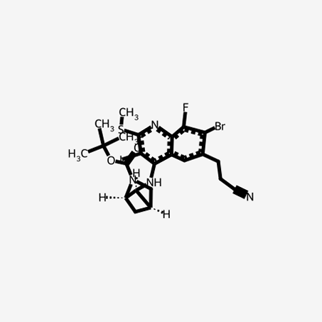 CSc1nc2c(F)c(Br)c(CCC#N)cc2c(N[C@H]2[C@@H]3C[C@H]2N(C(=O)OC(C)(C)C)C3)c1I